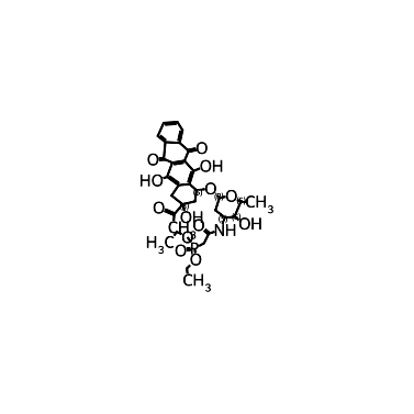 CCOP(=O)(CC(=O)N[C@H]1C[C@H](O[C@H]2C[C@](O)(C(C)=O)Cc3c(O)c4c(c(O)c32)C(=O)c2ccccc2C4=O)O[C@@H](C)[C@H]1O)OCC